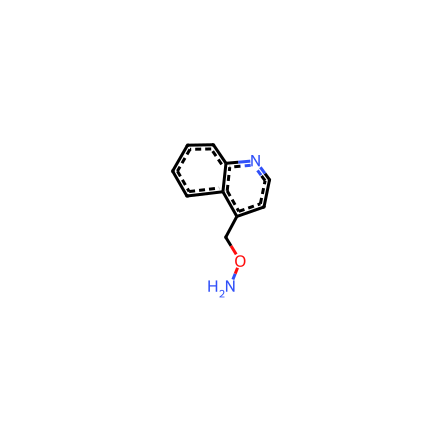 NOCc1ccnc2ccccc12